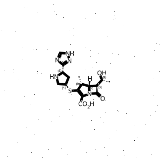 C[C@@H](O)[C@H]1C(=O)N2C(C(=O)O)=C(S[C@@H]3CN[C@H](c4nc[nH]n4)C3)[C@H](C)[C@H]12